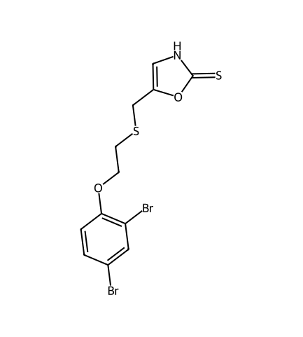 S=c1[nH]cc(CSCCOc2ccc(Br)cc2Br)o1